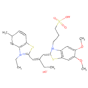 CCC(=Cc1sc2c([n+]1CC)[Te]C(C)C=C2)C=C1Sc2cc(OC)c(OC)cc2N1CCCS(=O)(=O)O.[OH-]